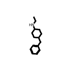 CCNC1CCC(Cc2ccccc2)CC1